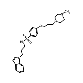 CN1CCN(CCCOc2ccc(S(=O)(=O)NCCCn3ccc4ccccc43)cc2)CC1